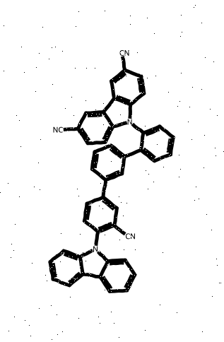 N#Cc1ccc2c(c1)c1cc(C#N)ccc1n2-c1ccccc1-c1cccc(-c2ccc(-n3c4ccccc4c4ccccc43)c(C#N)c2)c1